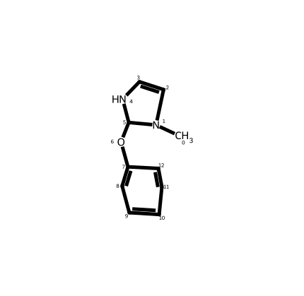 CN1C=CN[C]1Oc1ccccc1